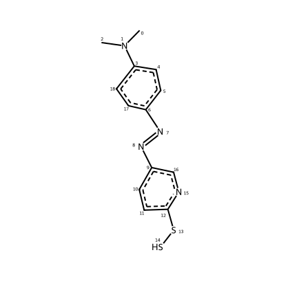 CN(C)c1ccc(N=Nc2ccc(SS)nc2)cc1